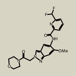 COc1cc2nn(CC(=O)N3CCOCC3)cc2cc1NC(=O)c1cccc(C(F)F)n1